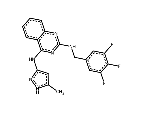 Cc1cc(Nc2nc(NCc3cc(F)c(F)c(F)c3)nc3ccccc23)n[nH]1